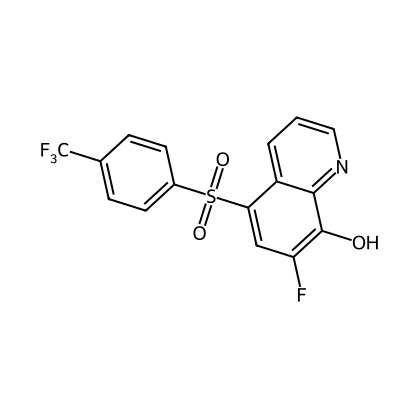 O=S(=O)(c1ccc(C(F)(F)F)cc1)c1cc(F)c(O)c2ncccc12